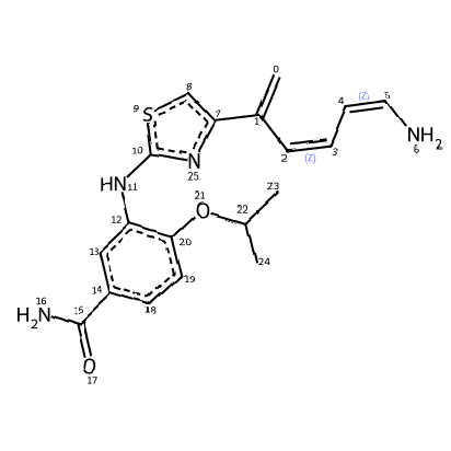 C=C(/C=C\C=C/N)c1csc(Nc2cc(C(N)=O)ccc2OC(C)C)n1